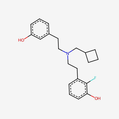 Oc1cccc(CCN(CCc2cccc(O)c2F)CC2CCC2)c1